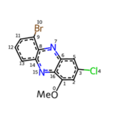 COc1cc(Cl)cc2nc3c(Br)cccc3nc12